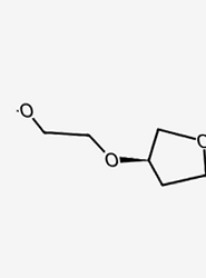 [O]CCO[C@@H]1CCOC1